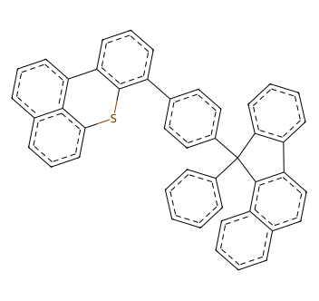 c1ccc(C2(c3ccc(-c4cccc5c4Sc4cccc6cccc-5c46)cc3)c3ccccc3-c3ccc4ccccc4c32)cc1